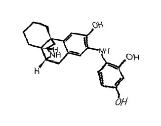 Oc1ccc(Nc2cc3c(cc2O)[C@@]24CCCC[C@H]2[C@@H](C3)NCC4)c(O)c1